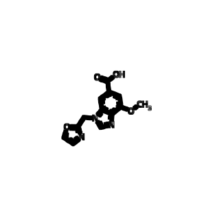 COc1cc(C(=O)O)cc2c1ncn2Cc1ncco1